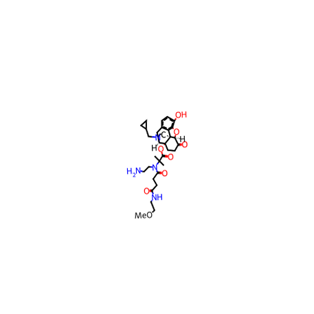 COCCNC(=O)CCC(=O)N(CCN)C(C)(C)C(=O)O[C@@]12CCC(=O)[C@@H]3Oc4c(O)ccc5c4[C@@]31CCN(CC1CC1)[C@@H]2C5